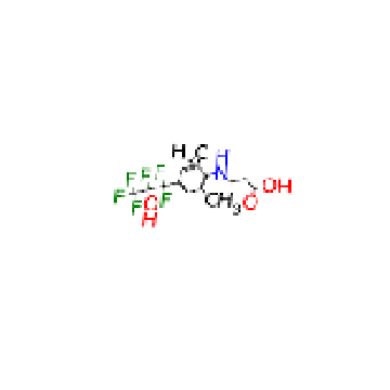 Cc1cc(C(F)(F)C(O)(F)C(F)(F)F)cc(C)c1NCCC(=O)O